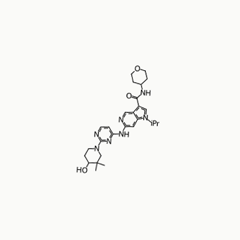 CC(C)n1cc(C(=O)NC2CCOCC2)c2cnc(Nc3ccnc(N4CCC(O)C(C)(C)C4)n3)cc21